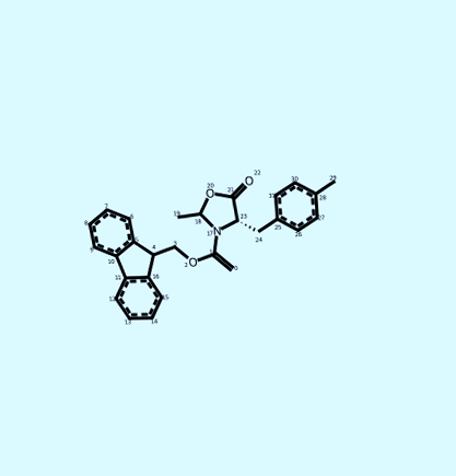 C=C(OCC1c2ccccc2-c2ccccc21)N1C(C)OC(=O)[C@@H]1Cc1ccc(C)cc1